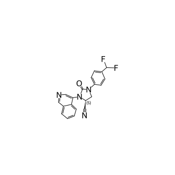 N#C[C@@H]1CN(c2ccc(C(F)F)cc2)C(=O)N1c1cncc2ccccc12